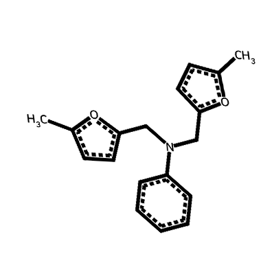 Cc1ccc(CN(Cc2ccc(C)o2)c2ccccc2)o1